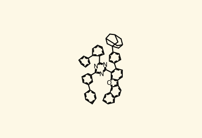 c1ccc(-c2cccc(-c3nc(-c4ccccc4-c4ccccc4)nc(-c4c(-c5ccc(C67CC8CC(CC(C8)C6)C7)cc5)ccc5c4oc4c6ccccc6ccc54)n3)c2)cc1